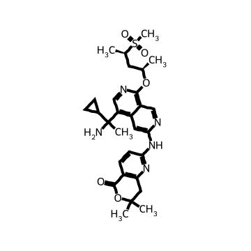 C[C@H](C[C@@H](C)S(C)(=O)=O)Oc1ncc(C(C)(N)C2CC2)c2cc(Nc3ccc4c(n3)CC(C)(C)OC4=O)ncc12